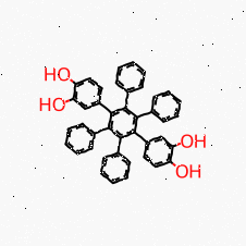 Oc1ccc(-c2c(-c3ccccc3)c(-c3ccccc3)c(-c3ccc(O)c(O)c3)c(-c3ccccc3)c2-c2ccccc2)cc1O